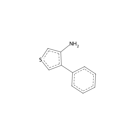 Nc1cscc1-c1ccccc1